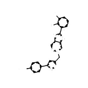 O=Cc1ccc(-c2cc(Cn3cc4nc(-c5cccc(F)c5F)nc-4cn3)on2)cc1